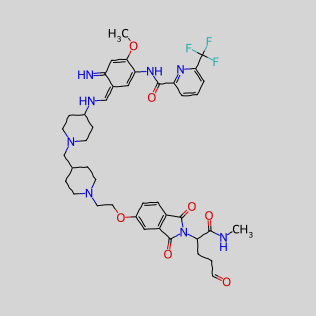 CNC(=O)C(CCC=O)N1C(=O)c2ccc(OCCN3CCC(CN4CCC(N/C=C5/C=C(NC(=O)c6cccc(C(F)(F)F)n6)C(OC)=CC5=N)CC4)CC3)cc2C1=O